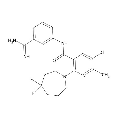 Cc1nc(N2CCCC(F)(F)CC2)c(C(=O)Nc2cccc(C(=N)N)c2)cc1Cl